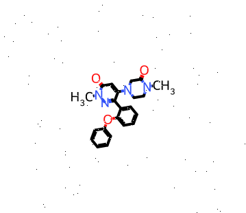 CN1CCN(c2cc(=O)n(C)nc2-c2ccccc2Oc2ccccc2)CC1=O